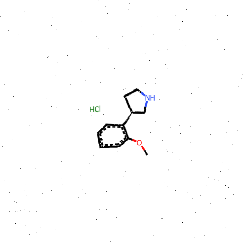 COc1ccccc1[C@H]1CCNC1.Cl